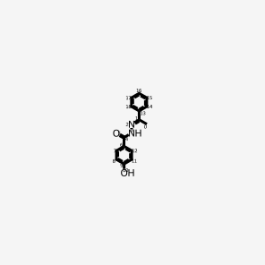 C/C(=N\NC(=O)c1ccc(O)cc1)c1ccccc1